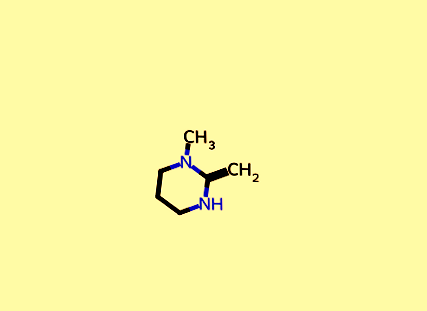 C=C1NCCCN1C